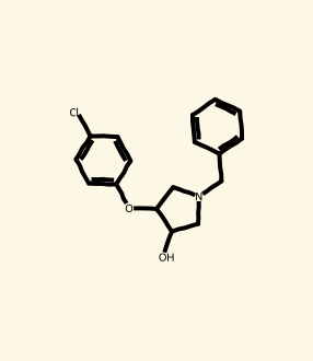 OC1CN(Cc2ccccc2)CC1Oc1ccc(Cl)cc1